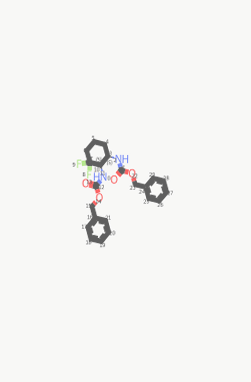 O=C(N[C@H]1CCCC(F)(F)[C@H]1NC(=O)OCc1ccccc1)OCc1ccccc1